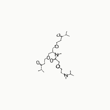 CC(C)C(=O)CCOCC(COCCC(=O)C(C)C)N(C)C(=O)COCCN(C)C(C)C